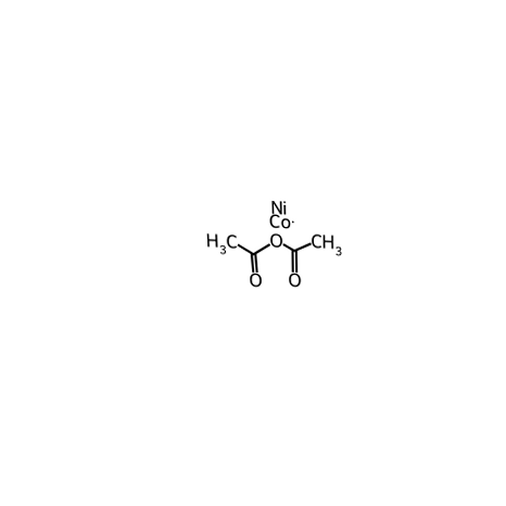 CC(=O)OC(C)=O.[Co].[Ni]